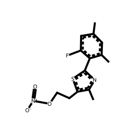 Cc1cc(C)c(-c2nc(C)c(CCO[N+](=O)[O-])s2)c(F)c1